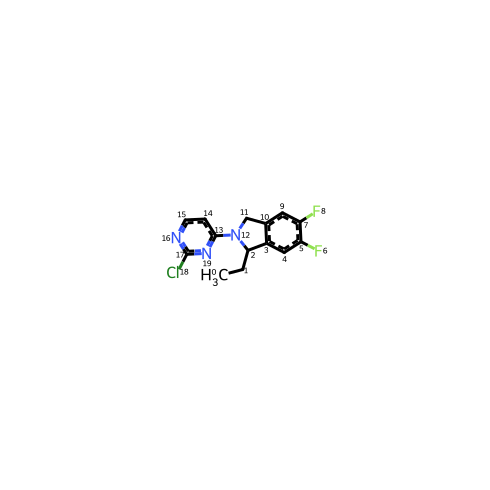 CCC1c2cc(F)c(F)cc2CN1c1ccnc(Cl)n1